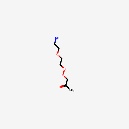 CC(=O)COOCCOCCN